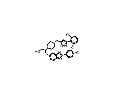 C[C@@H](O)C(Oc1ccc2oc(-c3ccc(Cl)cc3)nc2c1)N1CCN(Cc2cc(-c3c(Cl)cccc3Cl)no2)CC1